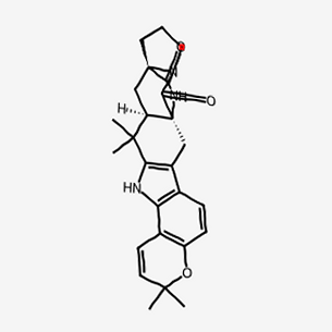 CC1(C)C=Cc2c(ccc3c4c([nH]c23)C(C)(C)[C@H]2C[C@]35CCCN3C(=O)[C@@]2(C4)NC5=O)O1